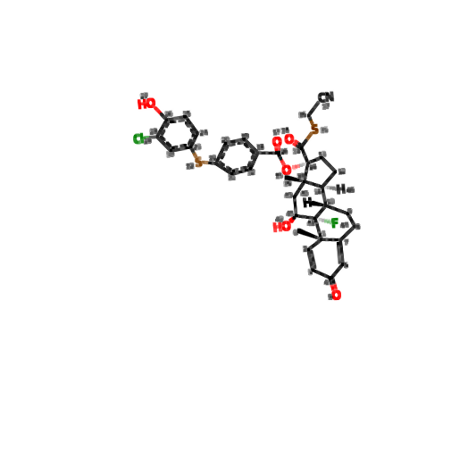 C[C@]12C=CC(=O)C=C1CC[C@H]1[C@@H]3CC[C@](OC(=O)c4ccc(Sc5ccc(O)c(Cl)c5)cc4)(C(=O)SCC#N)[C@@]3(C)C[C@H](O)[C@@]12F